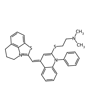 CN(C)CCSC1=C/C(=C\c2sc3cccc4c3[n+]2CCC4)c2ccccc2N1c1ccccc1